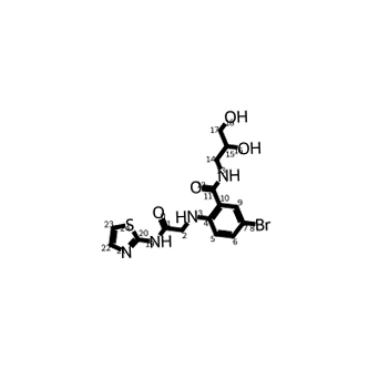 O=C(CNc1ccc(Br)cc1C(=O)NCC(O)CO)Nc1nccs1